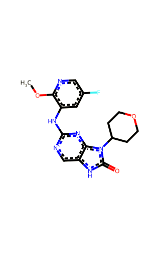 COc1ncc(F)cc1Nc1ncc2[nH]c(=O)n(C3CCOCC3)c2n1